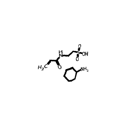 C=CC(=O)NCCS(=O)(=O)O.NC1CCCCC1